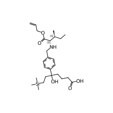 C=CCOC(=O)[C@@H](NCc1ccc(C(O)(CCCC(=O)O)CC[Si](C)(C)C)cc1)[C@@H](C)CC